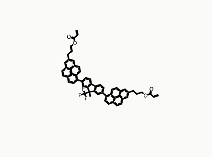 C=CC(=O)OCCCc1cc2ccc3ccc(-c4ccc5c(c4)C(C)(C(F)(F)F)c4cc(-c6ccc7ccc8cc(CCCOC(=O)C=C)cc9ccc6c7c89)ccc4-5)c4ccc(c1)c2c34